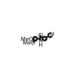 COc1ccc(-c2[nH]c3ccc(C4CCN(C)CC4)cc3c2Cl)cc1OC